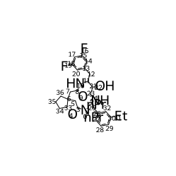 CCCN(CCC)C(=O)CC1(CC(=O)NC(Cc2cc(F)cc(F)c2)C(O)CNCc2cccc(CC)c2)CCCC1